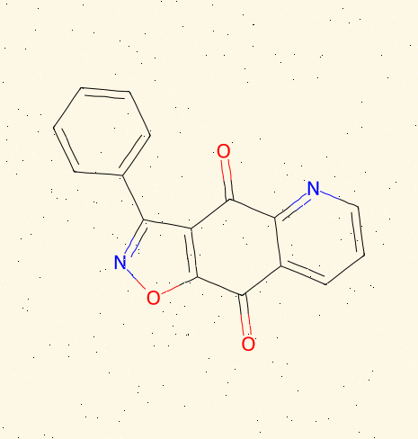 O=C1c2cccnc2C(=O)c2c(-c3ccccc3)noc21